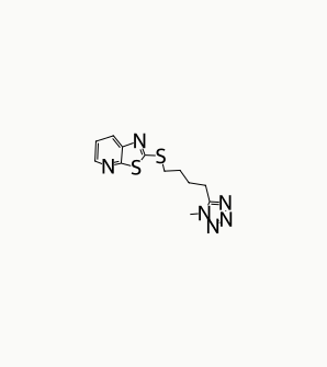 Cn1nnnc1CCCCSc1nc2cccnc2s1